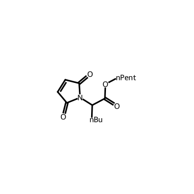 CCCCCOC(=O)C(CCCC)N1C(=O)C=CC1=O